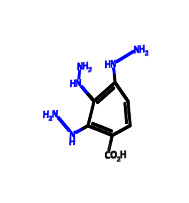 NNc1ccc(C(=O)O)c(NN)c1NN